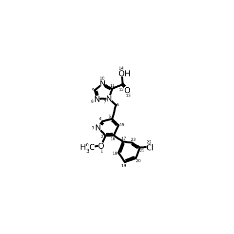 COc1ncc(Cn2ncnc2C(=O)O)cc1-c1cccc(Cl)c1